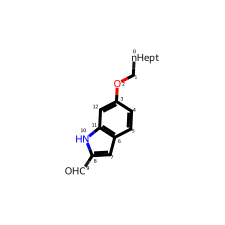 CCCCCCCCOc1ccc2cc(C=O)[nH]c2c1